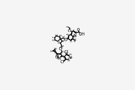 CCOc1cc(C(=O)O)nc2c(F)cc(OCC3(CCCOCc4c(-c5c(Cl)cncc5Cl)noc4C4CC4)CCCCC3)cc12